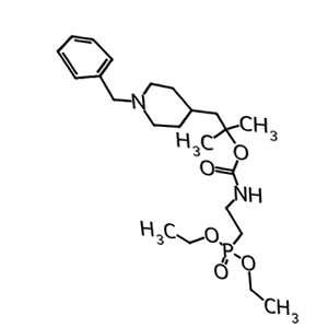 CCOP(=O)(CCNC(=O)OC(C)(C)CC1CCN(Cc2ccccc2)CC1)OCC